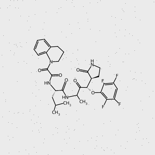 CC(C)C[C@H](NC(=O)C(=O)N1CCCc2ccccc21)C(=O)NC(C)C(=O)[C@@H](Oc1c(F)c(F)cc(F)c1F)[C@@H]1CCNC1=O